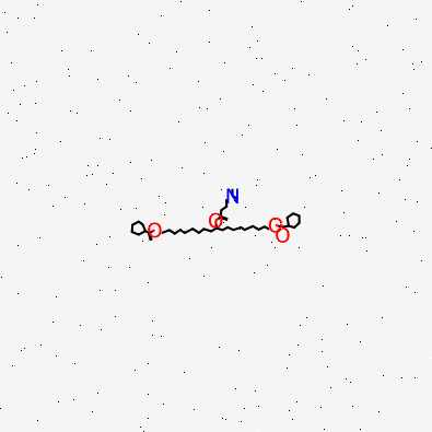 C=C(CCCN(C)C)OC(CCCCCCCCCOC(=C)C1CCCCC1)CCCCCCCCCOC(=O)C1CCCCC1